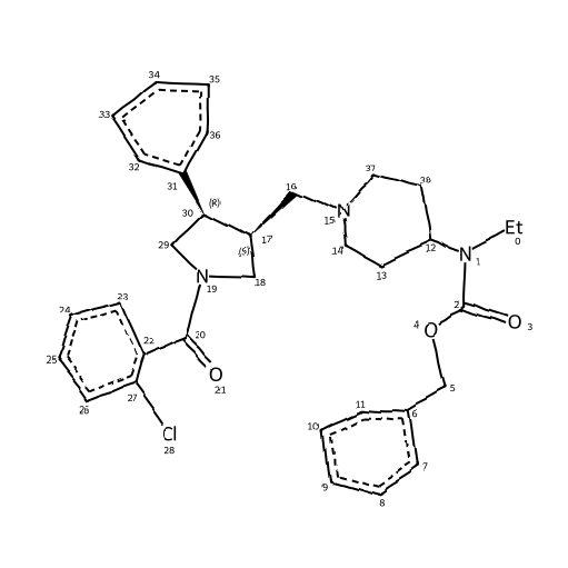 CCN(C(=O)OCc1ccccc1)C1CCN(C[C@H]2CN(C(=O)c3ccccc3Cl)C[C@H]2c2ccccc2)CC1